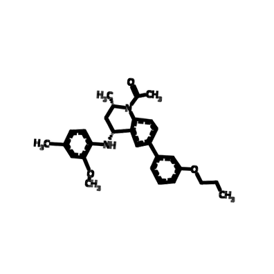 CCCOc1cccc(-c2ccc3c(c2)[C@H](Nc2ccc(C)cc2OC)C[C@H](C)N3C(C)=O)c1